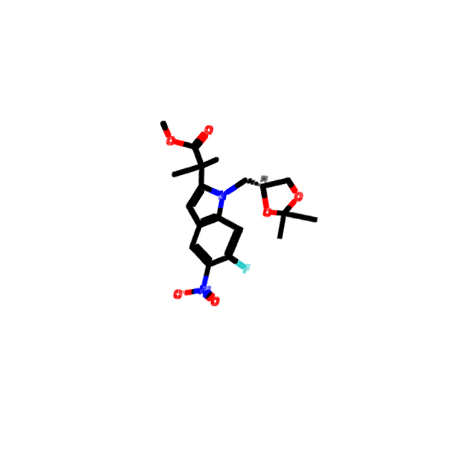 COC(=O)C(C)(C)c1cc2cc([N+](=O)[O-])c(F)cc2n1C[C@@H]1COC(C)(C)O1